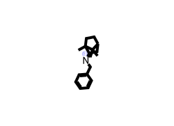 CC12CCC(C/C1=N\Cc1ccccc1)C2(C)C